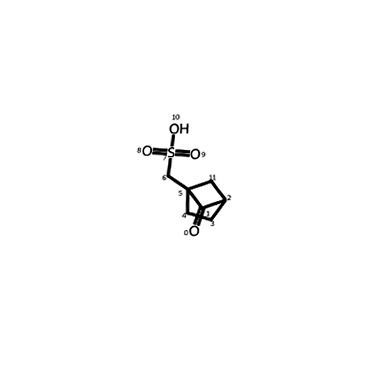 O=C1C2CCC1(CS(=O)(=O)O)C2